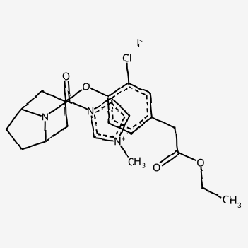 CCOC(=O)Cc1ccc(OC2CC3CCC(C2)N3C(=O)n2cc[n+](C)c2)c(Cl)c1.[I-]